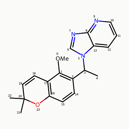 COc1c(C(C)n2cnc3ncccc32)ccc2c1C=CC(C)(C)O2